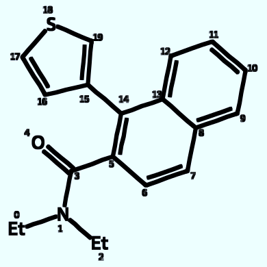 CCN(CC)C(=O)c1ccc2ccccc2c1-c1ccsc1